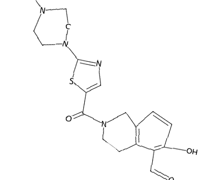 CN1CCN(c2ncc(C(=O)N3CCc4c(ccc(O)c4C=O)C3)s2)CC1